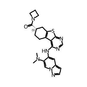 CN(C)c1cn2nccc2cc1Nc1ncnc2sc3c(c12)CC[C@H](C(=O)N1CCC1)C3